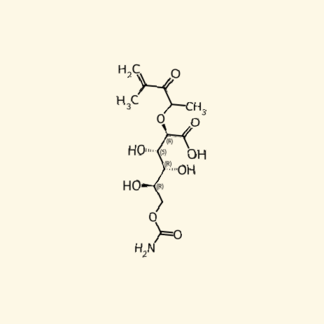 C=C(C)C(=O)C(C)O[C@@H](C(=O)O)[C@@H](O)[C@H](O)[C@H](O)COC(N)=O